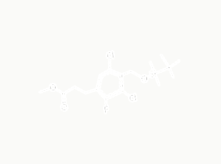 COC(=O)CCc1cc(Cl)c(CO[Si](C)(C)C(C)(C)C)c(Cl)c1F